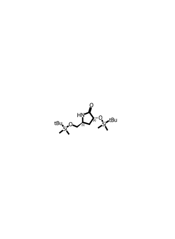 CC(C)(C)[Si](C)(C)OC[C@@H]1C[C@@H](O[Si](C)(C)C(C)(C)C)C(=O)N1